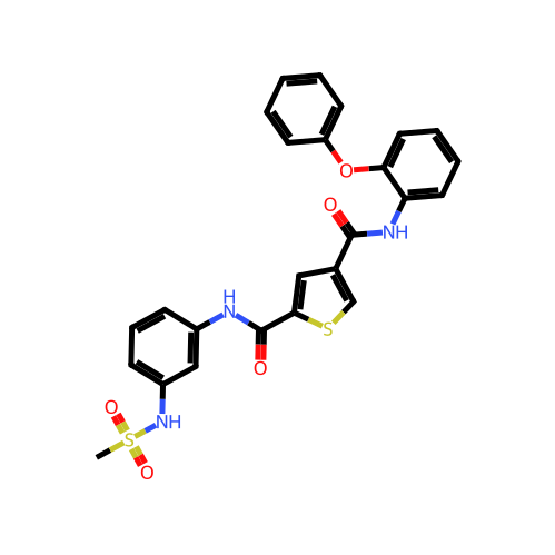 CS(=O)(=O)Nc1cccc(NC(=O)c2cc(C(=O)Nc3ccccc3Oc3ccccc3)cs2)c1